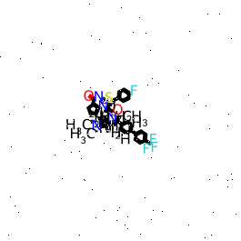 [2H]c1c([2H])c(C([2H])([2H])N(C(=O)C([2H])([2H])n2c(SCc3ccc(F)cc3)nc(=O)c3c2CCC3)C([2H])([2H])C([2H])([2H])N(CC)CC)c(C)c([2H])c1-c1ccc(C(F)(F)F)cc1